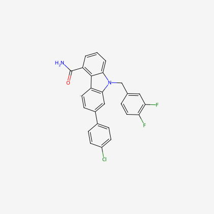 NC(=O)c1cccc2c1c1[c]cc(-c3ccc(Cl)cc3)cc1n2Cc1ccc(F)c(F)c1